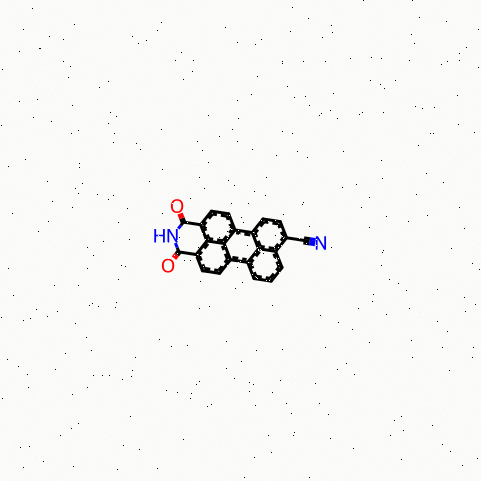 N#Cc1ccc2c3ccc4c5c(ccc(c6cccc1c62)c53)C(=O)NC4=O